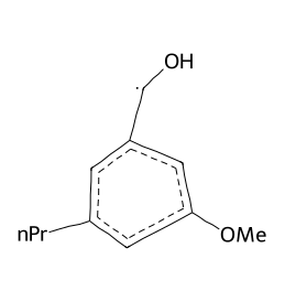 CCCc1cc([CH]O)cc(OC)c1